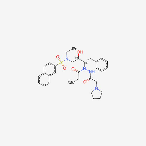 CC(C)CN(C[C@@H](O)[C@H](Cc1ccccc1)N(NC(=O)CN1CCCC1)C(=O)CC(C)(C)C)S(=O)(=O)c1ccc2ccccc2c1